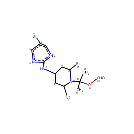 CCC1CC(Nc2ncc(Br)cn2)CC(CC)N1C(C)(C)OC=O